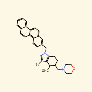 CCc1cn(Cc2ccc3c(ccc4c5ccccc5ccc34)c2)c2c1C(C=O)C(CN1CCOCC1)CC2